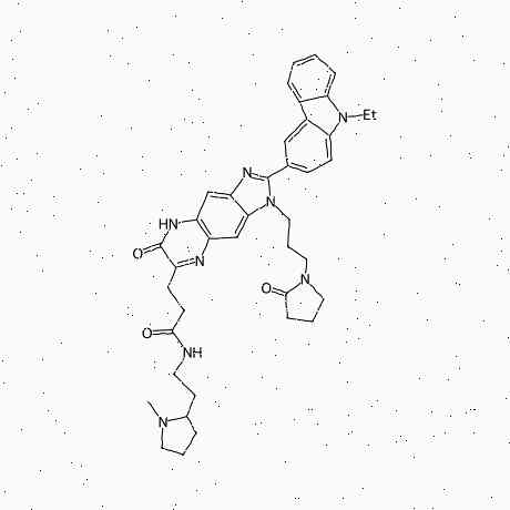 CCn1c2ccccc2c2cc(-c3nc4cc5[nH]c(=O)c(CCC(=O)NCCC6CCCN6C)nc5cc4n3CCCN3CCCC3=O)ccc21